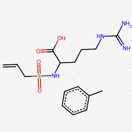 C=CCS(=O)(=O)NC(CCCNC(=N)N)C(=O)O.Cc1ccccc1